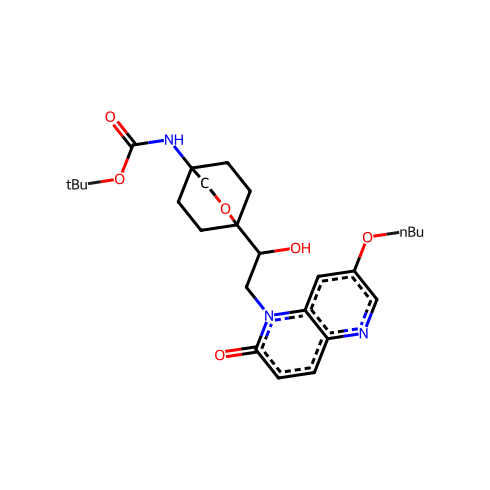 CCCCOc1cnc2ccc(=O)n(CC(O)C34CCC(NC(=O)OC(C)(C)C)(CC3)CO4)c2c1